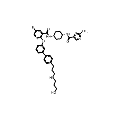 Cc1nc(C(=O)N[C@H]2CC[C@H](NC(=O)c3cc(F)cnc3Oc3cccc(-c4ccc(CCCNCCCO)cc4)c3)CC2)cs1